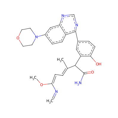 C=N/C(=C\C=C(/C)C(C(N)=O)c1cc(-c2ncnc3cc(N4CCOCC4)ccc23)ccc1O)OC